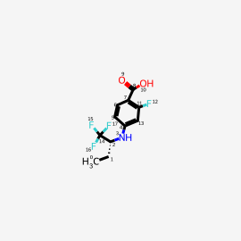 CC[C@@H](Nc1ccc(C(=O)O)c(F)c1)C(F)(F)F